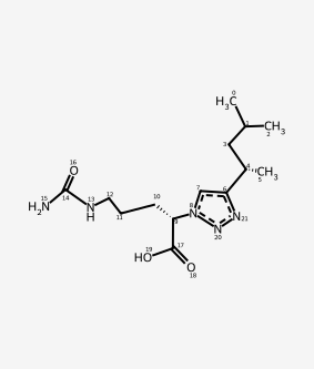 CC(C)C[C@H](C)c1cn([C@@H](CCCNC(N)=O)C(=O)O)nn1